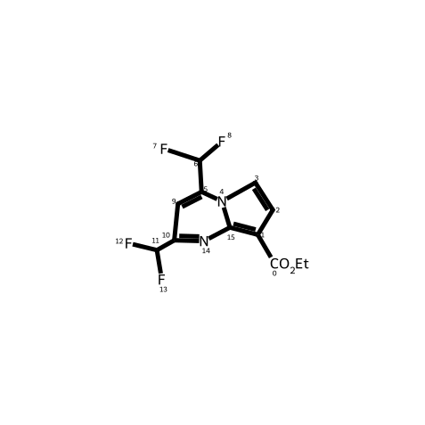 CCOC(=O)c1ccn2c(C(F)F)cc(C(F)F)nc12